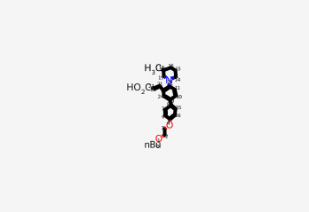 CCCCOCCOc1ccc(-c2ccc(N3CCCC(C)C3)c(C=CC(=O)O)c2)cc1